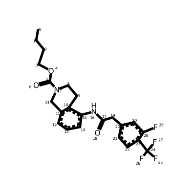 CCCCOC(=O)N1CCc2c(cccc2NC(=O)Cc2ccc(C(F)(F)F)c(F)c2)C1